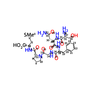 CSCC[C@H](NC(=O)[C@@H]1CCCN1C(=O)CNC(=O)[C@H](Cc1ccccc1)NC(=O)[C@H](CC(N)=O)NC(=O)[C@@H](N)CO)C(=O)O